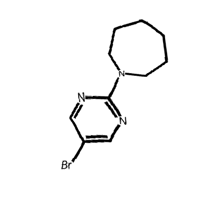 Brc1cnc(N2CCCCCC2)nc1